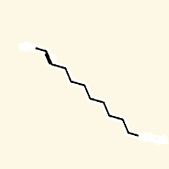 CCC/C=C/CCCCCCCCCCCCCCC